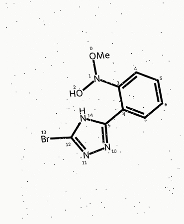 CON(O)c1ccccc1-c1nnc(Br)[nH]1